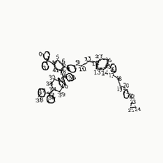 COC(=O)c1ccc(OCCCc2ccc(OCCCCOCC3CC3)cc2)c(C(=O)N2CCC(C(=O)OC)CC2)c1